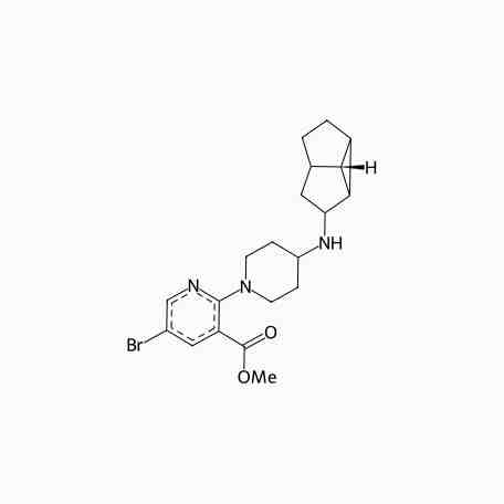 COC(=O)c1cc(Br)cnc1N1CCC(NC2CC3CCC4C2[C@H]34)CC1